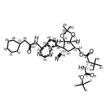 CC(C)(C)OC(=O)N[C@H](C(=O)OC[C@H]1C[C@@](C#N)(c2ccc3c(NC(=O)CC4CCCCC4)ncnn23)[C@@H]2OC(C)(C)O[C@H]12)C(C)(C)C